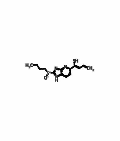 C=C/C=C(\S)c1ccc2[nH]c([S+]([O-])CCCC)nc2n1